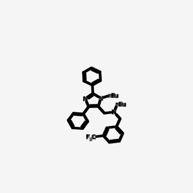 CCCCN(Cc1cccc(C(F)(F)F)c1)Cc1c(-c2ccccc2)nc(-c2ccccc2)n1CCCC